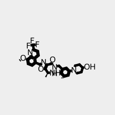 COc1ccc(-c2nc(C(=O)NCc3cccc(N4CCC(O)CC4)c3)c([C@H](C)N)o2)c2ccc(C(F)(F)F)nc12